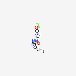 Cc1ccn2nc(C)c(C(=O)NCc3cnc(-c4ccc(OC(F)(F)F)cc4)nc3)c2c1